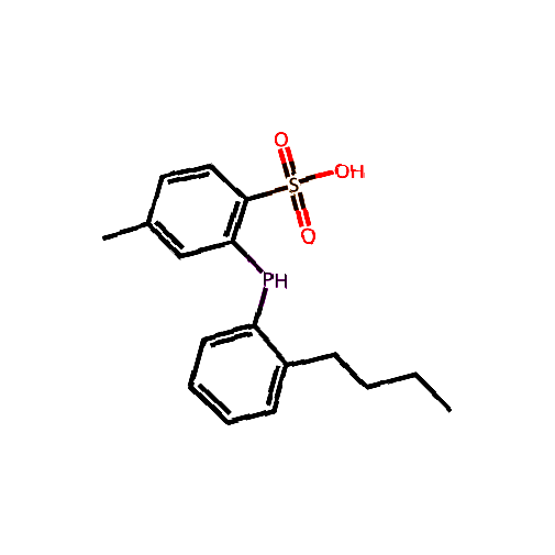 CCCCc1ccccc1Pc1cc(C)ccc1S(=O)(=O)O